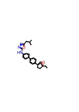 CCC12CCC(c3ccc(-c4ccc(Nc5nnc(CC(C)C)o5)cc4)cc3)(CO1)C2